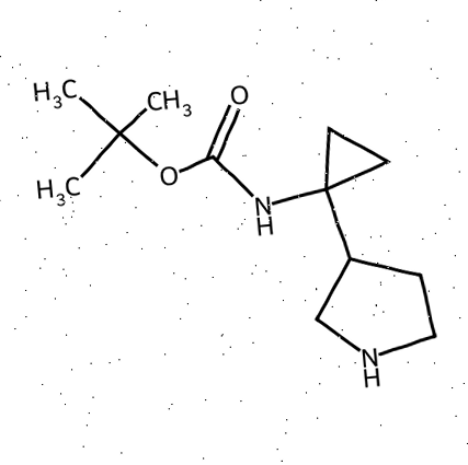 CC(C)(C)OC(=O)NC1(C2CCNC2)CC1